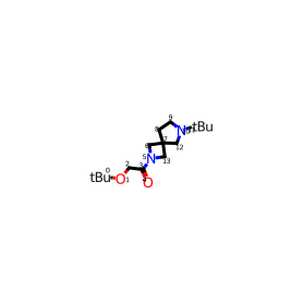 CC(C)(C)OCC(=O)N1CC2(CCN(C(C)(C)C)C2)C1